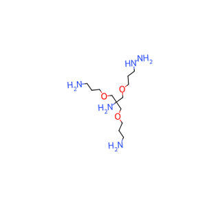 NCCCOCC(N)(COCCCN)COCCCNN